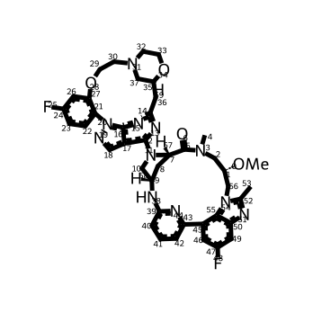 CO[C@H]1CN(C)C(=O)[C@@H]2C[C@@H](CN2c2nc3nc4c2cnn4-c2ccc(F)cc2OCCN2CCO[C@H](C3)C2)Nc2cccc(n2)-c2cc(F)cc3nc(C)n(c23)C1